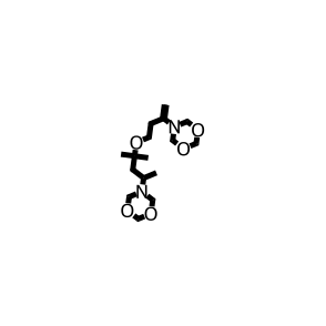 C=C(CCOC(C)(C)CC(C)N1COCOC1)N1COCOC1